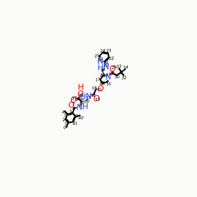 Cc1cc(C)c(C(=O)N[C@@H](CNC(=O)CO[C@@H]2C[C@@H](CNc3ccccn3)N(C(=O)CC(C)(C)C)C2)C(=O)O)c(C)c1